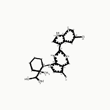 C[C@@]1(C(O)O)CCCC[C@H]1n1cc(F)c2cnc(-c3c[nH]c4ncc(Cl)cc34)nc21